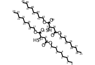 CCCCCCCCOC(=O)CC(S)C(=O)OCCCCCCCC.CCCCCCCCOC(=O)CC(S)C(=O)OCCCCCCCC